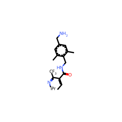 C/C=C(C(=O)NCc1c(C)cc(CN)cc1C)\C(=N/C(C)C)C(F)(F)F